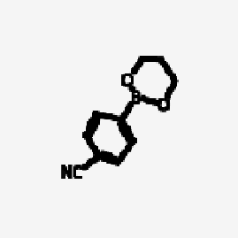 N#Cc1ccc(B2OCCCO2)cc1